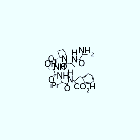 CC(C)[C@H](NC(=O)[C@H](CO)NC(=O)[C@@H]1CCCN1C(=O)[C@H](C)NC(=O)[C@H](C)N)C(=O)N[C@@H](Cc1ccccc1)C(=O)O